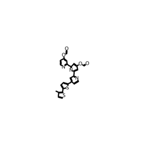 Cc1ccsc1-c1ccc(-c2ccnc(-c3cc(OC=O)cc(-c4cc(OC=O)ccn4)n3)c2)s1